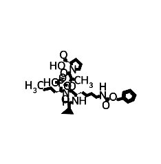 CCCC[C@@H](NC(=O)[C@H](CCCCNC(=O)OCc1ccccc1)NC(=O)C1CC1)P(=O)(O)OC(C)C(=O)N1CCC[C@H]1C(=O)O